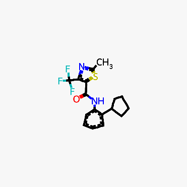 Cc1nc(C(F)(F)F)c(C(=O)Nc2ccccc2C2CCCC2)s1